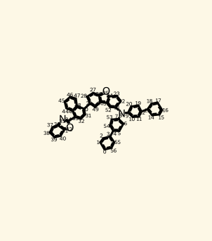 c1ccc(-c2ccc(N(c3ccc(-c4ccccc4)cc3)c3ccc4oc5ccc(-c6ccc(-c7nc8ccccc8o7)c7ccccc67)cc5c4c3)cc2)cc1